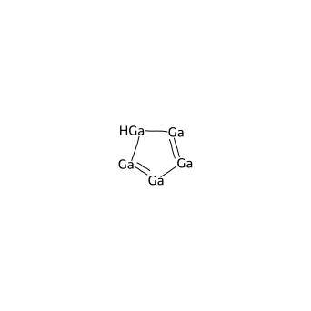 [Ga]1=[Ga][GaH][Ga]=[Ga]1